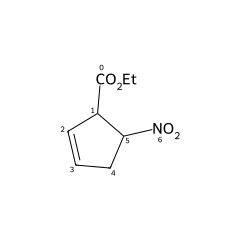 CCOC(=O)C1C=CCC1[N+](=O)[O-]